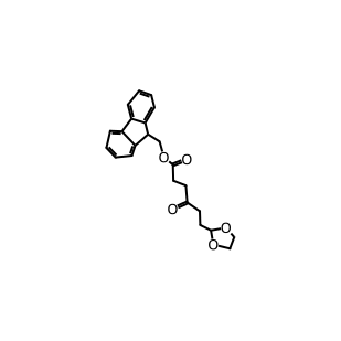 O=C(CCC(=O)OCC1c2ccccc2-c2ccccc21)CCC1OCCO1